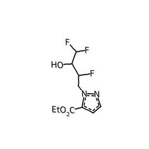 CCOC(=O)c1ccnn1CC(F)C(O)C(F)F